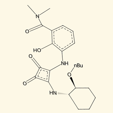 CCCCO[C@H]1CCCC[C@@H]1Nc1c(Nc2cccc(C(=O)N(C)C)c2O)c(=O)c1=O